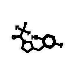 O=C(N1CCC(Cc2cc(F)ccc2S)C1)C(F)(F)F